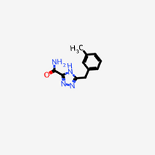 Cc1cccc(Cc2nnc(C(N)=O)[nH]2)c1